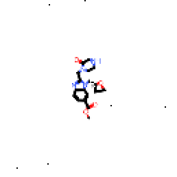 COC(=O)c1ccc2nc(CN3CCNCC3=O)n(C[C@@H]3CCO3)c2c1